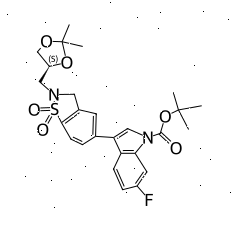 CC(C)(C)OC(=O)n1cc(-c2ccc3c(c2)CN(C[C@H]2COC(C)(C)O2)S3(=O)=O)c2ccc(F)cc21